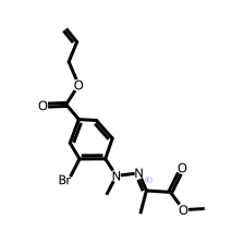 C=CCOC(=O)c1ccc(N(C)/N=C(\C)C(=O)OC)c(Br)c1